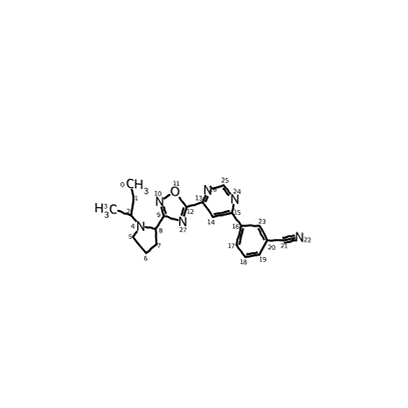 CCC(C)N1CCCC1c1noc(-c2cc(-c3cccc(C#N)c3)ncn2)n1